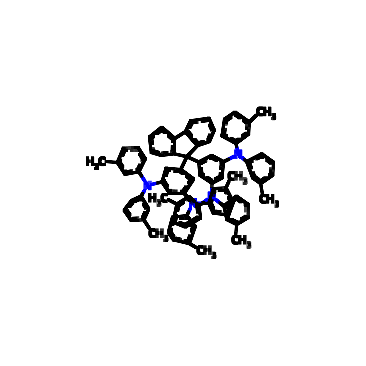 Cc1cccc(N(c2cccc(C)c2)c2cc(N(c3cccc(C)c3)c3cccc(C)c3)cc(C3(c4cc(N(c5cccc(C)c5)c5cccc(C)c5)cc(N(c5cccc(C)c5)c5cccc(C)c5)c4)c4ccccc4-c4ccccc43)c2)c1